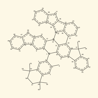 Cc1cc2c(cc1N1c3cc4c(cc3B3c5c1cc1c(c5-c5cccc6c7oc8ccccc8c7n3c56)C(C)(C)c3ccccc3-1)oc1ccccc14)C(C)(C)CCC2(C)C